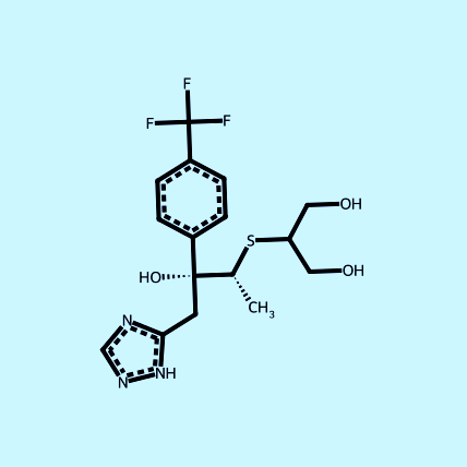 C[C@@H](SC(CO)CO)[C@@](O)(Cc1ncn[nH]1)c1ccc(C(F)(F)F)cc1